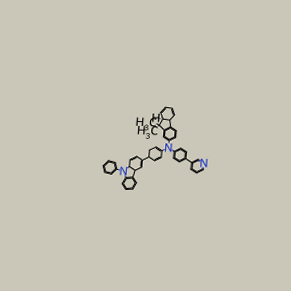 CC1(C)c2cc(N(C3=CCC(C4=CC5c6ccccc6N(c6ccccc6)C5C=C4)C=C3)c3ccc(-c4cccnc4)cc3)ccc2C2C=CC=C[C@@H]21